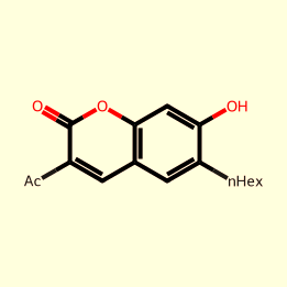 CCCCCCc1cc2cc(C(C)=O)c(=O)oc2cc1O